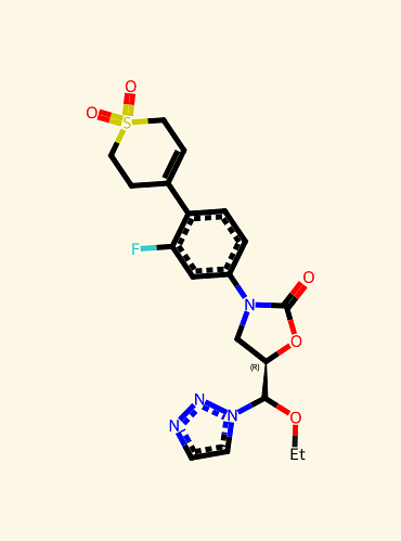 CCOC([C@H]1CN(c2ccc(C3=CCS(=O)(=O)CC3)c(F)c2)C(=O)O1)n1ccnn1